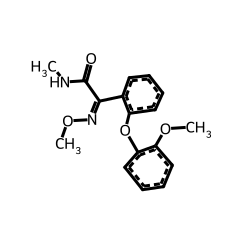 CNC(=O)C(=NOC)c1ccccc1Oc1ccccc1OC